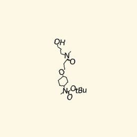 CN(CCCO)C(=O)CCOC1CCC(N(C)C(=O)OC(C)(C)C)CC1